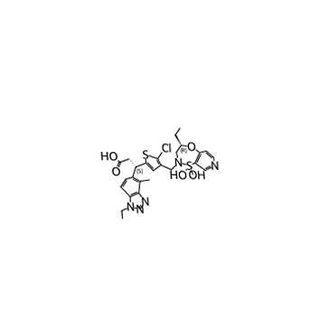 CC[C@@H]1CN(Cc2cc([C@@H](CC(=O)O)c3ccc4c(nnn4CC)c3C)sc2Cl)S(O)(O)c2cnccc2O1